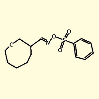 O=S(=O)(ON=CC1CCCCCCC1)c1ccccc1